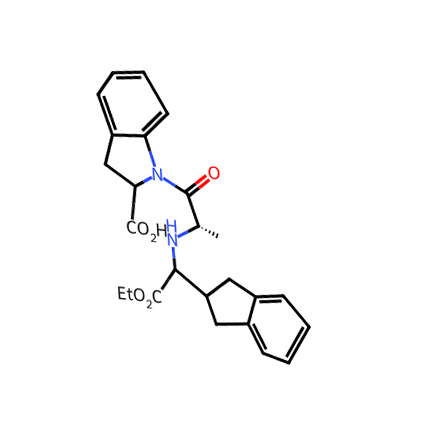 CCOC(=O)C(N[C@@H](C)C(=O)N1c2ccccc2CC1C(=O)O)C1Cc2ccccc2C1